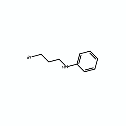 CC(C)CCCNc1ccccc1